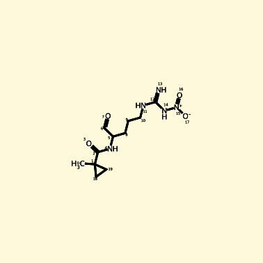 CC1(C(=O)NC(C=O)CCCNC(=N)N[N+](=O)[O-])CC1